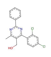 Cc1nc(-c2ccccc2)nc(-c2ccc(Cl)cc2Cl)c1CO